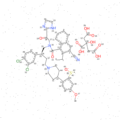 CCc1c(C#N)cc2ccccc2c1C(=O)N(CC(=O)c1ncc[nH]1)C[C@@H](CCN1CCC(c2ccc(OC)cc2[S@+](C)[O-])CC1)c1ccc(Cl)c(Cl)c1.O=C(O)CC(O)(CC(=O)O)C(=O)O